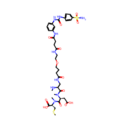 CNC(CNC(=O)CCCOCCNC(=O)CCC(=O)Nc1cccc(NC(=O)Nc2ccc(S(N)(=O)=O)cc2)c1)C(=O)N(C)[C@@H](CC(=O)O)C(=O)N(C)[C@@H](CSC)C(=O)O